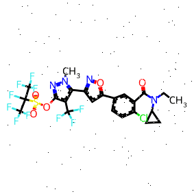 CCN(C(=O)c1cc(-c2cc(-c3c(C(F)(F)F)c(OS(=O)(=O)C(F)(C(F)(F)F)C(F)(F)F)nn3C)no2)ccc1Cl)C1CC1